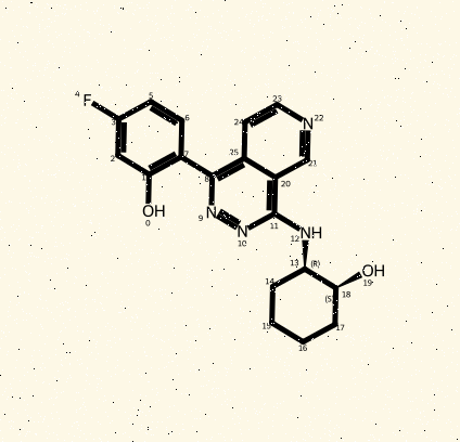 Oc1cc(F)ccc1-c1nnc(N[C@@H]2CCCC[C@@H]2O)c2cnccc12